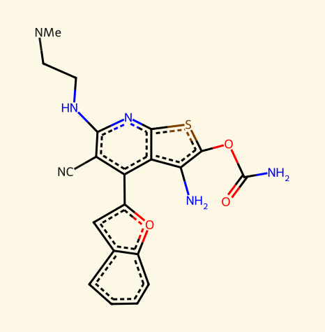 CNCCNc1nc2sc(OC(N)=O)c(N)c2c(-c2cc3ccccc3o2)c1C#N